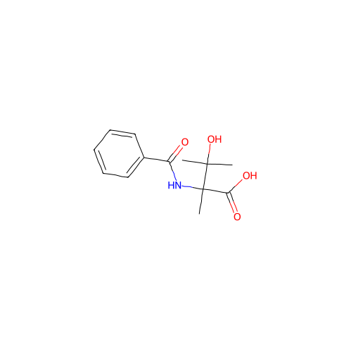 CC(C)(O)C(C)(NC(=O)c1ccccc1)C(=O)O